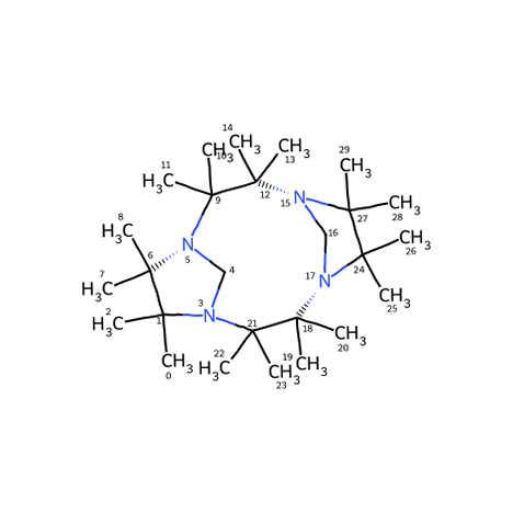 CC1(C)N2C[N@](C1(C)C)C(C)(C)C(C)(C)[N@@]1C[N@@](C(C)(C)C2(C)C)C(C)(C)C1(C)C